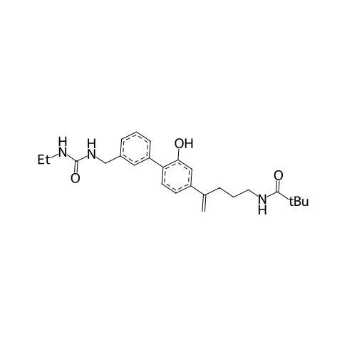 C=C(CCCNC(=O)C(C)(C)C)c1ccc(-c2cccc(CNC(=O)NCC)c2)c(O)c1